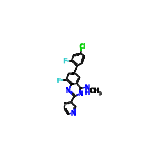 CNc1nc(-c2cccnc2)nc2c(F)cc(-c3ccc(Cl)cc3F)cc12